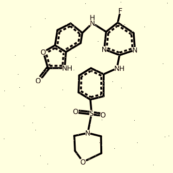 O=c1[nH]c2cc(Nc3nc(Nc4cccc(S(=O)(=O)N5CCOCC5)c4)ncc3F)ccc2o1